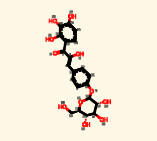 O=C(C(O)=Cc1ccc(OC2O[C@H](CO)[C@@H](O)[C@H](O)[C@H]2O)cc1)c1ccc(O)c(O)c1O